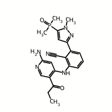 CCC(=O)c1cnc(N)cc1Nc1cccc(-c2cc(P(C)(C)=O)n(C)n2)c1C#N